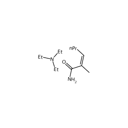 CCCC=C(C)C(N)=O.CCN(CC)CC